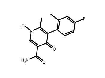 Cc1cc(F)ccc1-c1c(C)n(C(C)C)cc(C(N)=O)c1=O